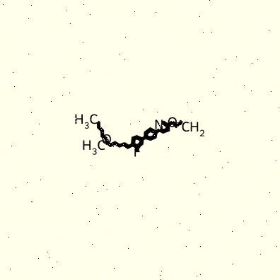 C=CCOc1ccc(-c2ccc(-c3ccc(C=CCCCC(C)OCCCCC)c(F)c3)cc2)nc1